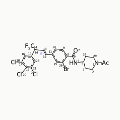 CC(=O)N1CCC(NC(=O)c2ccc(/C=C/C(c3cc(Cl)c(Cl)c(Cl)c3)C(F)(F)F)cc2Br)CC1